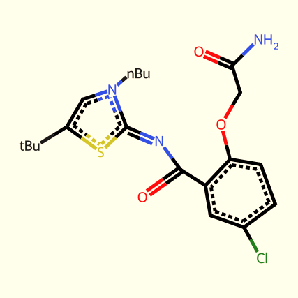 CCCCn1cc(C(C)(C)C)sc1=NC(=O)c1cc(Cl)ccc1OCC(N)=O